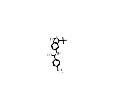 CC(C)(C)c1n[nH]c2ccc(NC(O)c3ccc(N)cc3)cc12